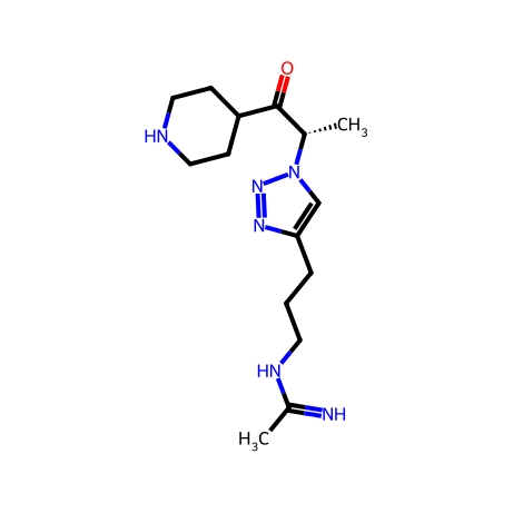 CC(=N)NCCCc1cn([C@@H](C)C(=O)C2CCNCC2)nn1